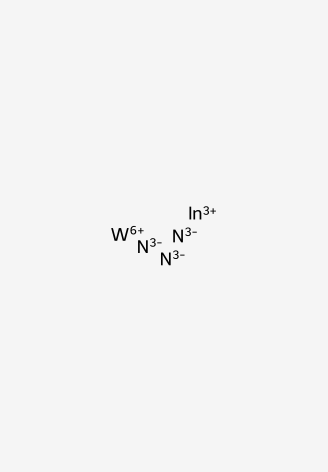 [In+3].[N-3].[N-3].[N-3].[W+6]